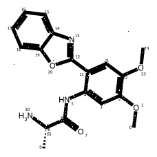 COc1cc(NC(=O)[C@H](C)N)c(-c2nc3ccccc3o2)cc1OC